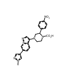 Cn1cc(-c2ccc3c(N4CCN(C(=O)O)C(c5ccc([N+](=O)[O-])cc5)C4)cnn3c2)cn1